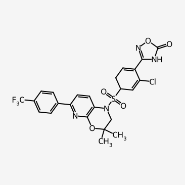 CC1(C)CN(S(=O)(=O)C2C=C(Cl)C(c3noc(=O)[nH]3)=CC2)c2ccc(-c3ccc(C(F)(F)F)cc3)nc2O1